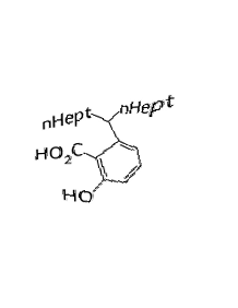 CCCCCCCC(CCCCCCC)c1cccc(O)c1C(=O)O